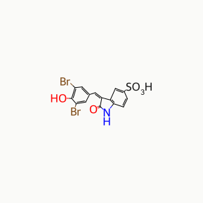 O=C1Nc2ccc(S(=O)(=O)O)cc2/C1=C/c1cc(Br)c(O)c(Br)c1